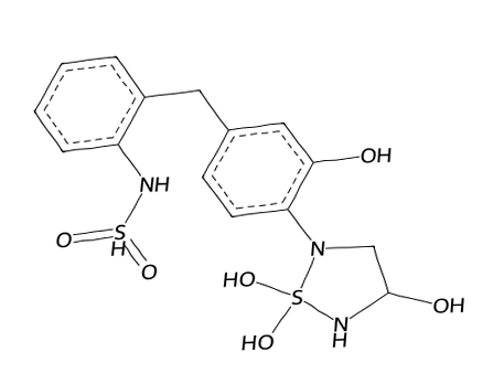 O=[SH](=O)Nc1ccccc1Cc1ccc(N2CC(O)NS2(O)O)c(O)c1